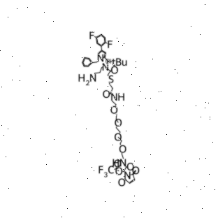 CC(C)(C)[C@H](c1cc(-c2cc(F)ccc2F)cn1Cc1ccccc1)N(CCCN)C(=O)CSCCC(=O)NCCOCCOCCOCCOCCNC(=O)C(OC(=O)C(F)(F)F)N1C(=O)C=CC1=O